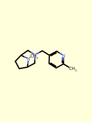 Cc1ccc(CN2CC3CCC(C2)N3C)cn1